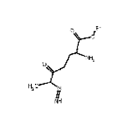 CC(C)OC(=O)C(N)CCC(=O)C(C)N=N